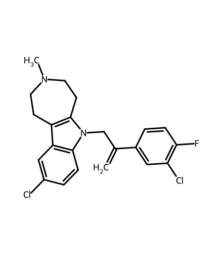 C=C(Cn1c2c(c3cc(Cl)ccc31)CCN(C)CC2)c1ccc(F)c(Cl)c1